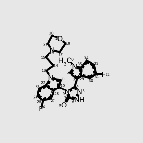 Cn1cc(-c2n[nH]c(=O)n2-c2cn(CCCN3CCOCC3)c3ccc(F)cc23)c2cc(F)ccc21